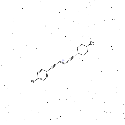 CCc1ccc(C#C/C=C/C#C[C@H]2CC[C@H](CC)CC2)cc1